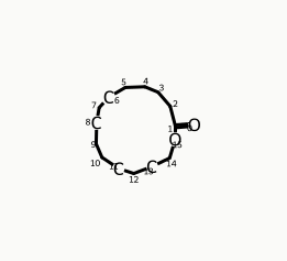 O=C1CCCCCCCCCCCCCO1